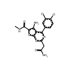 CNC(=O)c1sc2nc(CC(N)=O)nc(-c3ccc(Cl)c(Cl)c3)c2c1N